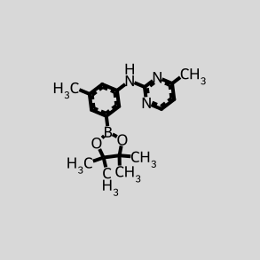 Cc1cc(Nc2nccc(C)n2)cc(B2OC(C)(C)C(C)(C)O2)c1